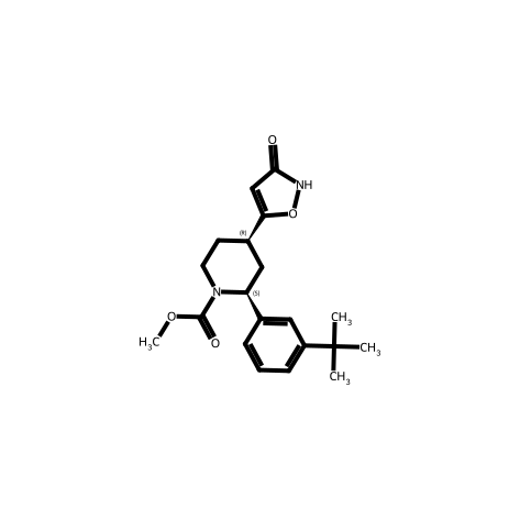 COC(=O)N1CC[C@@H](c2cc(=O)[nH]o2)C[C@H]1c1cccc(C(C)(C)C)c1